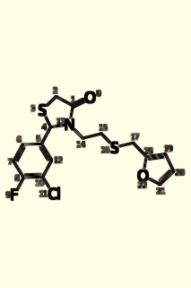 O=C1CSC(c2ccc(F)c(Cl)c2)N1CCSCc1ccco1